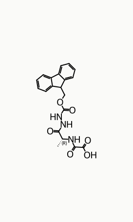 C[C@@H](NC(=O)C(=O)O)C(=O)NNC(=O)OCC1c2ccccc2-c2ccccc21